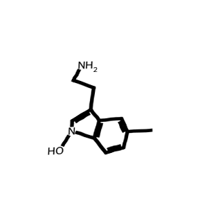 Cc1ccc2c(c1)c(CCN)cn2O